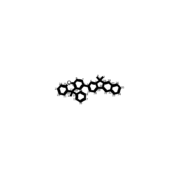 CC1(C)c2cc(-c3ccc4c(c3)C(C)(c3ccccc3)c3ccccc3O4)ccc2-c2cc3ccccc3cc21